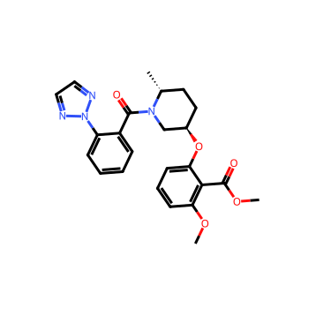 COC(=O)c1c(OC)cccc1O[C@@H]1CC[C@@H](C)N(C(=O)c2ccccc2-n2nccn2)C1